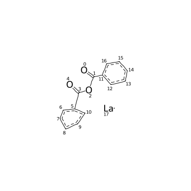 O=C(OC(=O)c1ccccc1)c1ccccc1.[La]